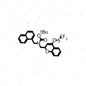 CC(C)(C)OC(=O)N(Cc1cccc2ccccc12)CC1C=C(OSC(F)(F)F)c2ccccc2O1